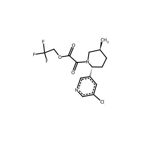 C[C@H]1CC[C@H](c2cncc(Cl)c2)N(C(=O)C(=O)OCC(F)(F)F)C1